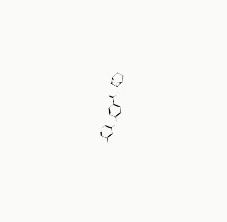 O=C(N[C@@H]1C[C@H]2CC[C@@H]1N2)c1ccc(Sc2cncc(C(F)(F)F)c2)cc1